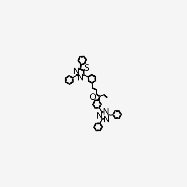 C=Cc1c(/C=C/c2cccc(-c3nc(-c4ccccc4)nc4c3sc3ccccc34)c2)oc2ccc(-c3nc(-c4ccccc4)nc(-c4ccccc4)n3)cc12